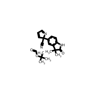 CC(C)(C)OC=O.CC1(C)C(=O)Nc2ccc(C3(C#N)C=CC=N3)cc21